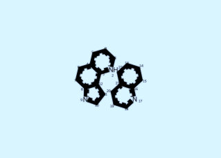 c1c[nH]c2c(c1)ccc1nccc12.c1ccc2ncccc2c1